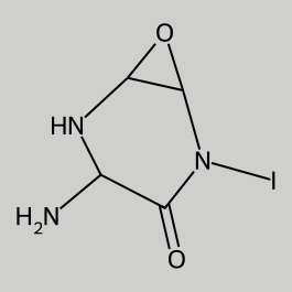 NC1NC2OC2N(I)C1=O